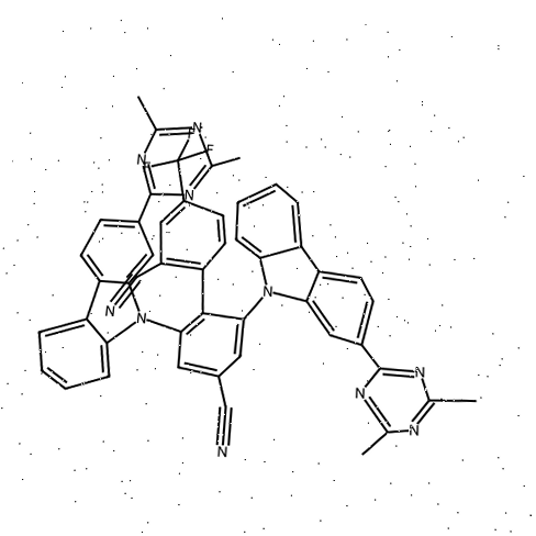 Cc1nc(C)nc(-c2ccc3c4ccccc4n(-c4cc(C#N)cc(-n5c6ccccc6c6ccc(-c7nc(C)nc(C)n7)cc65)c4-c4ccc(C(F)(F)F)cc4C#N)c3c2)n1